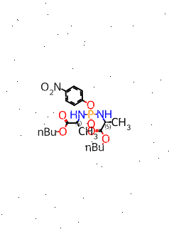 CCCCOC(=O)[C@H](C)NP(=O)(N[C@@H](C)C(=O)OCCCC)Oc1ccc([N+](=O)[O-])cc1